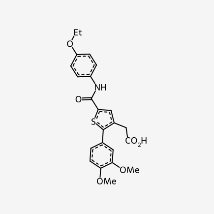 CCOc1ccc(NC(=O)c2cc(CC(=O)O)c(-c3ccc(OC)c(OC)c3)s2)cc1